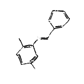 Fc1ccc(F)c(/N=C/c2ccccc2)c1